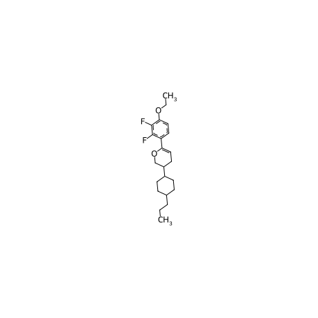 CCCC1CCC(C2CC=C(c3ccc(OCC)c(F)c3F)OC2)CC1